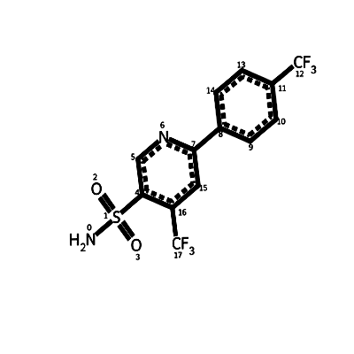 NS(=O)(=O)c1[c]nc(-c2ccc(C(F)(F)F)cc2)cc1C(F)(F)F